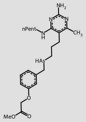 CCCCCNc1nc(N)nc(C)c1CCC[AsH]Cc1cccc(OCC(=O)OC)c1